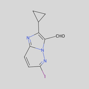 O=Cc1c(C2CC2)nc2ccc(I)nn12